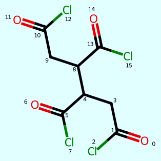 O=C(Cl)CC(C(=O)Cl)C(CC(=O)Cl)C(=O)Cl